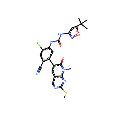 CSc1ncc2cc(-c3cc(NC(=O)Nc4cc(C(C)(C)C)on4)c(F)cc3C#N)c(=O)n(C)c2n1